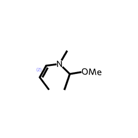 C/C=C\N(C)C(C)OC